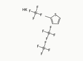 Cc1cccs1.F[B-](F)(F)F.F[B-](F)(F)F.F[B-](F)(F)F.[KH]